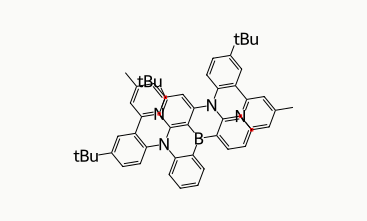 Cc1ccnc(-c2cc(C(C)(C)C)ccc2N2c3ccccc3B3c4ccccc4N(c4ccc(C(C)(C)C)cc4-c4cc(C)ccn4)c4cc(C(C)(C)C)cc2c43)c1